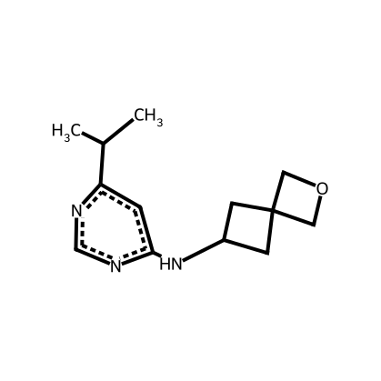 CC(C)c1cc(NC2CC3(COC3)C2)ncn1